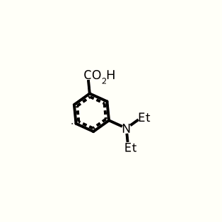 CCN(CC)c1c[c]cc(C(=O)O)c1